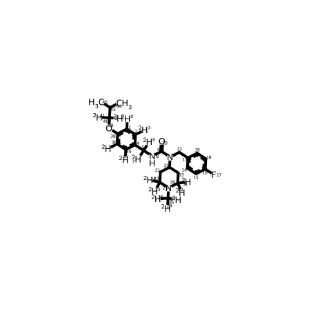 [2H]c1c([2H])c(C([2H])([2H])NC(=O)N(Cc2ccc(F)cc2)C2CC([2H])([2H])N(C([2H])([2H])[2H])C([2H])([2H])C2)c([2H])c([2H])c1OC([2H])([2H])C(C)C